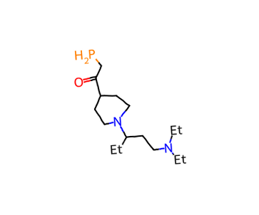 CCC(CCN(CC)CC)N1CCC(C(=O)CP)CC1